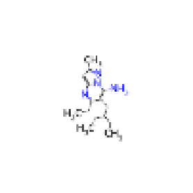 CCc1nc2cc(C)nn2c(N)c1CC(CC)CC